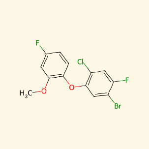 COc1cc(F)ccc1Oc1cc(Br)c(F)cc1Cl